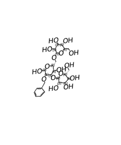 OC[C@H]1O[C@H](OC[C@H]2O[C@H](O)[C@@H](OCc3ccccc3)[C@@H](O[C@H]3O[C@H](CO)[C@@H](O)[C@H](O)[C@@H]3O)[C@@H]2O)[C@@H](O)[C@@H](O)[C@@H]1O